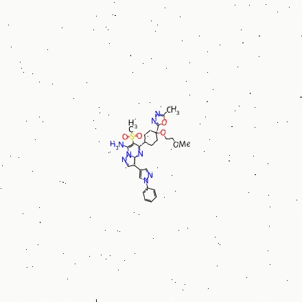 COCCOC1(c2nnc(C)o2)CCC(c2nc3c(-c4cnn(-c5ccccc5)c4)cnn3c(N)c2S(C)(=O)=O)CC1